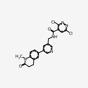 CN1C(=O)CCc2cc(-c3cncc(CNC(=O)c4cc(Cl)nnc4Cl)c3)ccc21